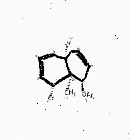 CC[C@@H]1C=CC[C@H]2C=C[C@@H](OC(C)=O)[C@]21C